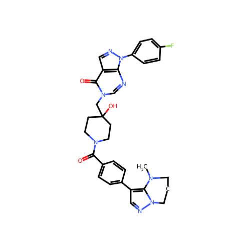 CN1CCCn2ncc(-c3ccc(C(=O)N4CCC(O)(Cn5cnc6c(cnn6-c6ccc(F)cc6)c5=O)CC4)cc3)c21